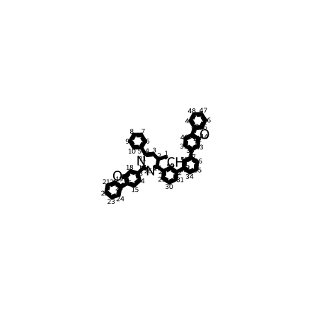 CCC1C=C(c2ccccc2)N=C(c2ccc3c(c2)oc2ccccc23)N=C1c1cccc(-c2cccc(-c3ccc4c(c3)oc3ccccc34)c2)c1